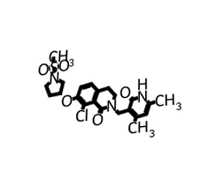 Cc1cc(C)c(CN2CCc3ccc(O[C@@H]4CCN(S(C)(=O)=O)C4)c(Cl)c3C2=O)c(=O)[nH]1